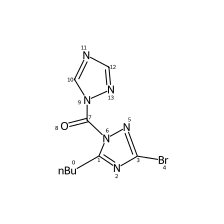 CCCCc1nc(Br)nn1C(=O)n1cncn1